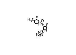 C[C@@H]1CCC[C@H](C(=O)NCc2cc(-c3cnc(C(F)(F)F)nc3)ncc2F)C[C@H]1F